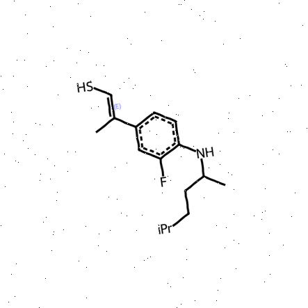 C/C(=C\S)c1ccc(NC(C)CCC(C)C)c(F)c1